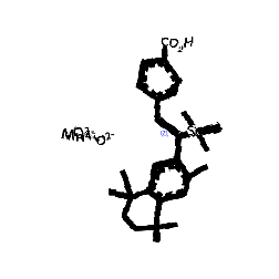 Cc1cc2c(cc1/C(=C/c1ccc(C(=O)O)cc1)[Si](C)(C)C)C(C)(C)CCC2(C)C.[Mn+4].[O-2].[O-2]